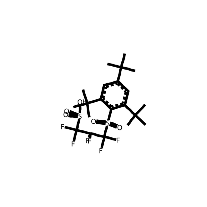 CC(C)(C)c1cc(C(C)(C)C)c(S(=O)(=O)C(F)(F)C(F)(F)C(F)(F)S(=O)(=O)O)c(C(C)(C)C)c1